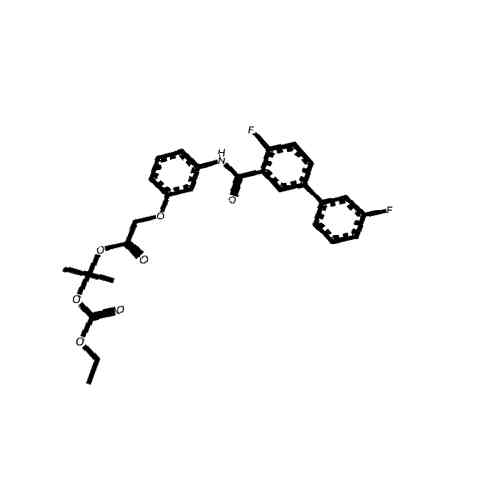 CCOC(=O)OC(C)(C)OC(=O)COc1cccc(NC(=O)c2cc(-c3cccc(F)c3)ccc2F)c1